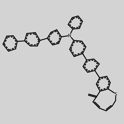 C=C1/C=C\C=C/CSc2ccc(-c3ccc(-c4ccc(N(c5ccccc5)c5ccc(-c6ccc(-c7ccccc7)cc6)cc5)cc4)cc3)cc21